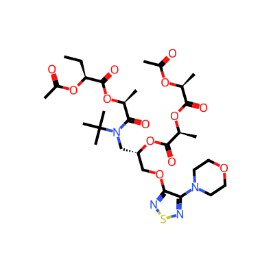 CC[C@H](OC(C)=O)C(=O)O[C@@H](C)C(=O)N(C[C@@H](COc1nsnc1N1CCOCC1)OC(=O)[C@H](C)OC(=O)[C@H](C)OC(C)=O)C(C)(C)C